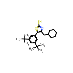 CC(C)(C)c1cc(-c2sc(S)nc2CC2CCCCC2)cc(C(C)(C)C)c1